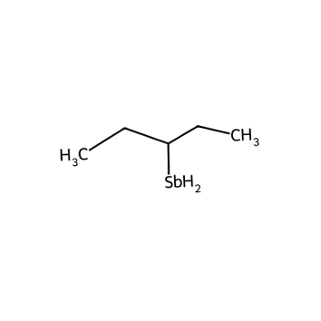 CC[CH]([SbH2])CC